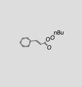 CCCCOOC(=O)C=Cc1ccccc1